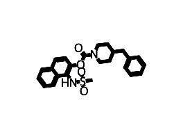 CS(=O)(=O)Nc1c(OC(=O)N2CCC(Cc3ccccc3)CC2)ccc2ccccc12